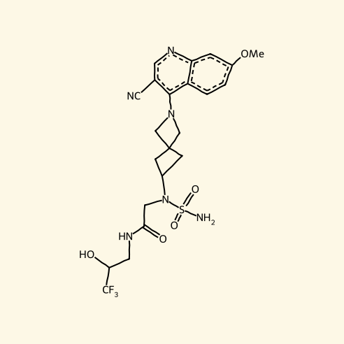 COc1ccc2c(N3CC4(CC(N(CC(=O)NCC(O)C(F)(F)F)S(N)(=O)=O)C4)C3)c(C#N)cnc2c1